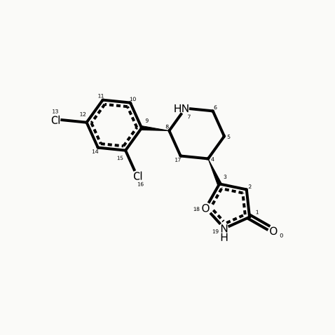 O=c1cc([C@@H]2CCN[C@H](c3ccc(Cl)cc3Cl)C2)o[nH]1